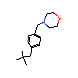 CC(C)(C)Cc1ccc(CN2CCOCC2)cc1